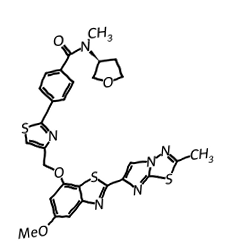 COc1cc(OCc2csc(-c3ccc(C(=O)N(C)[C@H]4CCOC4)cc3)n2)c2sc(-c3cn4nc(C)sc4n3)nc2c1